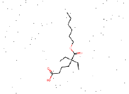 CCCCCCOC(=O)C(CC)(CC)CCCC(=O)O